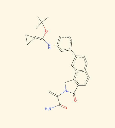 C=C(C(N)=O)N1Cc2c(ccc3ccc(-c4cccc(NC(OC(C)(C)C)=C5CC5)c4)cc23)C1=O